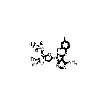 Cc1ccc(Sc2nn([C@H]3C[C@H](O[Si](C(C)C)(C(C)C)C(C)C)[C@@H](COS(N)(=O)=O)O3)c3ncnc(N)c23)c(F)c1